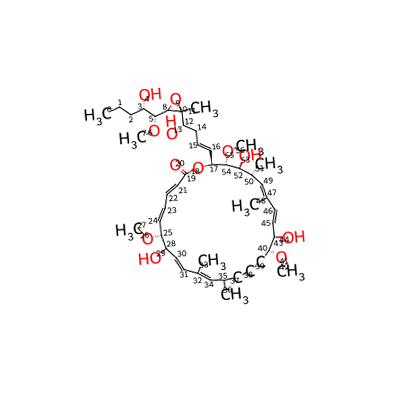 CCC[C@H](O)[C@@H](OC)C1OC1(C)[C@@H](O)C/C=C/[C@@H]1OC(=O)/C=C/C=C/[C@@H](OC)[C@H](O)/C=C/C(C)=C/C(C)CCC[C@@H](OC)[C@H](O)/C=C/C(C)=C/[C@@H](C)[C@H](O)[C@H]1OC